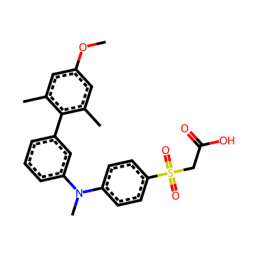 COc1cc(C)c(-c2cccc(N(C)c3ccc(S(=O)(=O)CC(=O)O)cc3)c2)c(C)c1